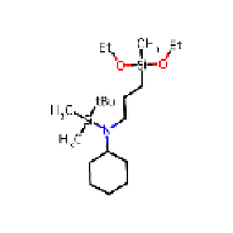 CCO[Si](C)(CCCN(C1CCCCC1)[Si](C)(C)C(C)(C)C)OCC